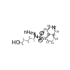 CCCCCCN(CCCCCO)S(=O)(=O)c1cccc2cnccc12